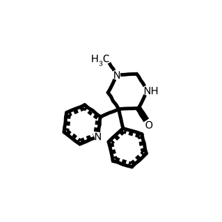 CN1CNC(=O)C(c2ccccc2)(c2ccccn2)C1